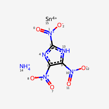 O=[N+]([O-])c1nc([N+](=O)[O-])c([N+](=O)[O-])[nH]1.[NH4+].[Sn+4]